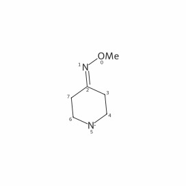 CON=C1CC[N]CC1